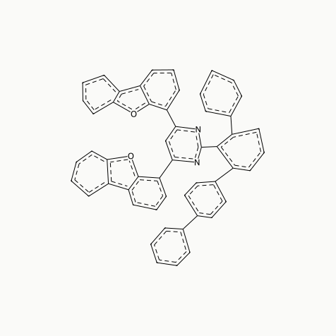 c1ccc(-c2ccc(-c3cccc(-c4ccccc4)c3-c3nc(-c4cccc5c4oc4ccccc45)cc(-c4cccc5c4oc4ccccc45)n3)cc2)cc1